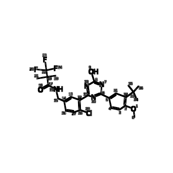 COc1ccc(-c2nc(O)nc(-c3cc(CNC(=O)C(C)(C)C(F)(F)F)ccc3Cl)n2)cc1C(C)(C)C